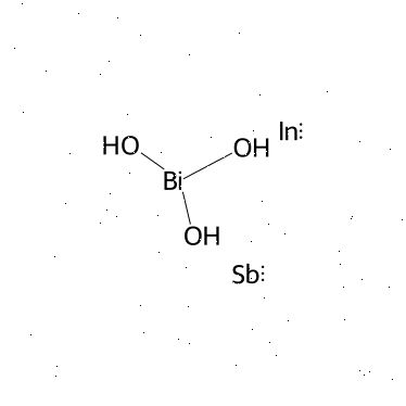 [In].[OH][Bi]([OH])[OH].[Sb]